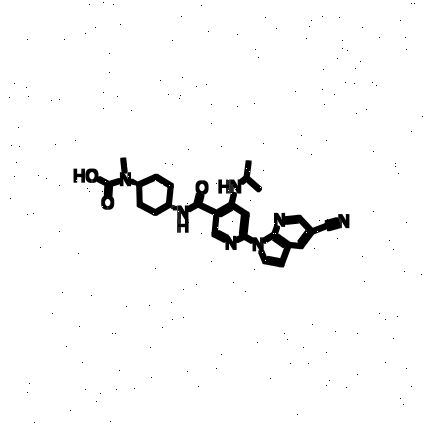 CC(C)Nc1cc(-n2ccc3cc(C#N)cnc32)ncc1C(=O)N[C@H]1CC[C@H](N(C)C(=O)O)CC1